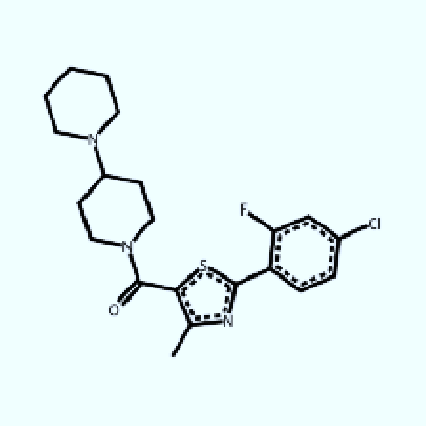 Cc1nc(-c2ccc(Cl)cc2F)sc1C(=O)N1CCC(N2CCCCC2)CC1